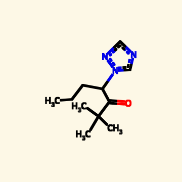 CCCC(C(=O)C(C)(C)C)n1cncn1